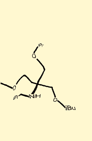 CCC(C)OCC(COC(C)C)(COC(C)C)NC(C)C